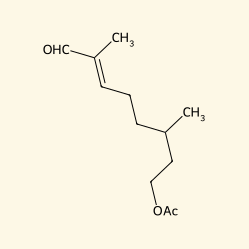 CC(=O)OCCC(C)CCC=C(C)C=O